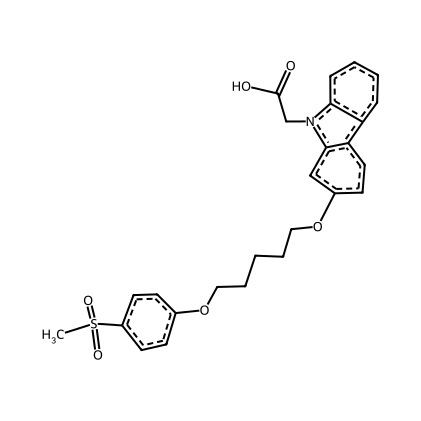 CS(=O)(=O)c1ccc(OCCCCCOc2ccc3c4ccccc4n(CC(=O)O)c3c2)cc1